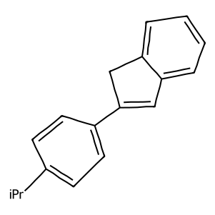 CC(C)c1ccc(C2=Cc3ccccc3C2)cc1